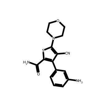 N#Cc1c(N2CCOCC2)sc(C(N)=O)c1-c1cccc(N)c1